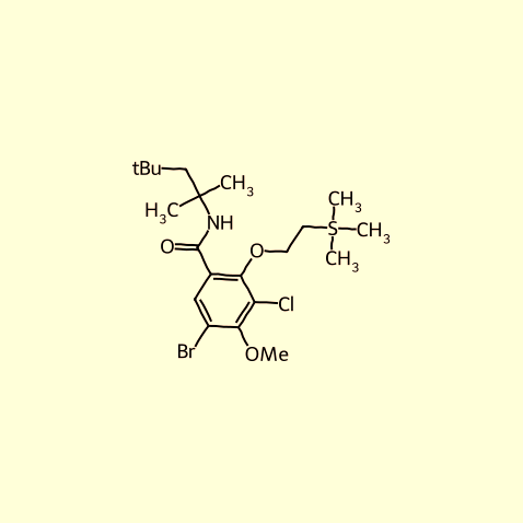 COc1c(Br)cc(C(=O)NC(C)(C)CC(C)(C)C)c(OCCS(C)(C)C)c1Cl